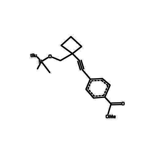 COC(=O)c1ccc(C#CC2(CO[Si](C)(C)C(C)(C)C)CCC2)cc1